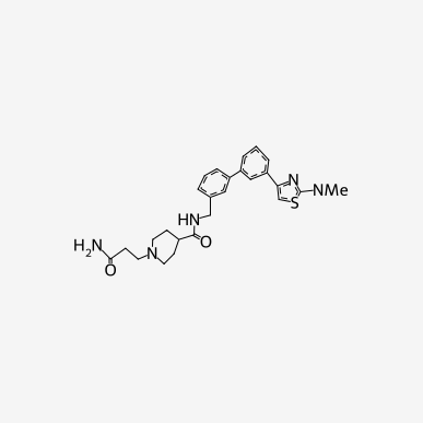 CNc1nc(-c2cccc(-c3cccc(CNC(=O)C4CCN(CCC(N)=O)CC4)c3)c2)cs1